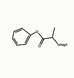 CCCCCCCC(C)C(=O)Oc1ccccc1